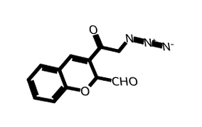 [N-]=[N+]=NCC(=O)C1=Cc2ccccc2OC1C=O